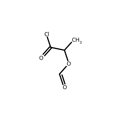 CC(OC=O)C(=O)Cl